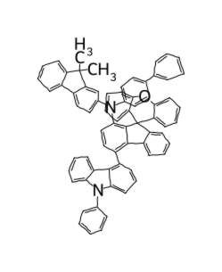 CC1(C)c2ccccc2-c2ccc(N(c3ccc(-c4ccccc4)cc3)c3ccc(-c4cccc5c4c4ccccc4n5-c4ccccc4)c4c3C3(c5ccccc5Oc5ccccc53)c3ccccc3-4)cc21